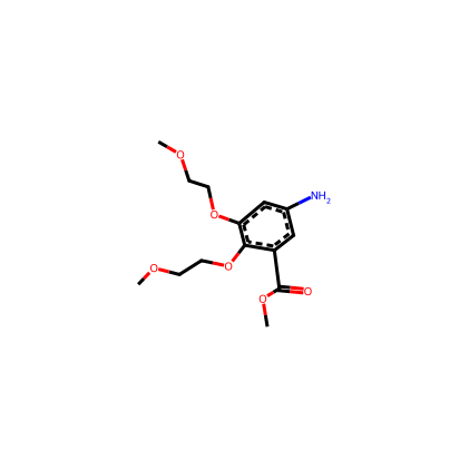 COCCOc1cc(N)cc(C(=O)OC)c1OCCOC